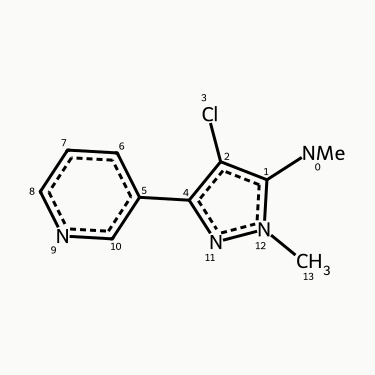 CNc1c(Cl)c(-c2cccnc2)nn1C